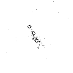 CC(C)CCN(CCC(C)C)C(=O)c1ccc2nc(Nc3cccc(OCc4ccccc4)c3)[nH]c2c1